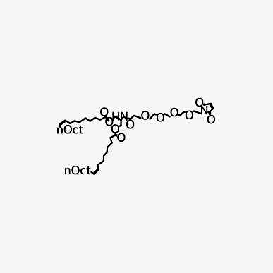 CCCCCCCC/C=C\CCCCCCCC(=O)OCC(COC(=O)CCCCCCC/C=C\CCCCCCCC)NC(=O)CCOCCOCCOCCOCCN1C(=O)C=CC1=O